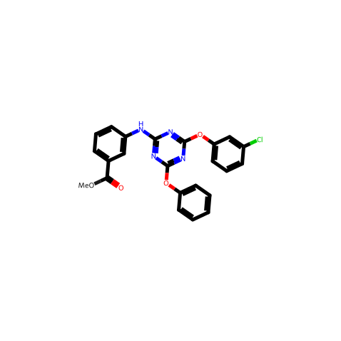 COC(=O)c1cccc(Nc2nc(Oc3ccccc3)nc(Oc3cccc(Cl)c3)n2)c1